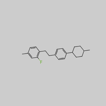 Cc1ccc(CCc2ccc(C3CCC(C)CC3)cc2)c(F)c1